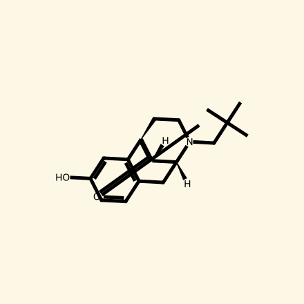 CC(C)(C)CN1CC[C@]23CCC(=O)C[C@H]2[C@H]1Cc1ccc(O)cc13